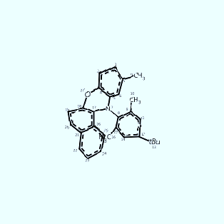 Cc1ccc2c(c1)N(c1c(C)cc(C(C)(C)C)cc1C)c1c(ccc3ccccc13)O2